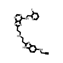 C#CCNc1ccc2[nH]c(CCNCCc3nc4c(NCc5ncccc5F)ncnc4s3)nc2c1